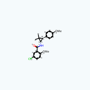 COc1ccc([C@H]2[C@H](NC(=O)c3cc(Cl)ccc3OC)C2(C)C)cc1